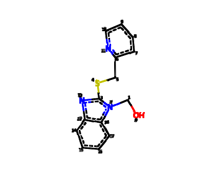 OCn1c(SCc2ccccn2)nc2ccccc21